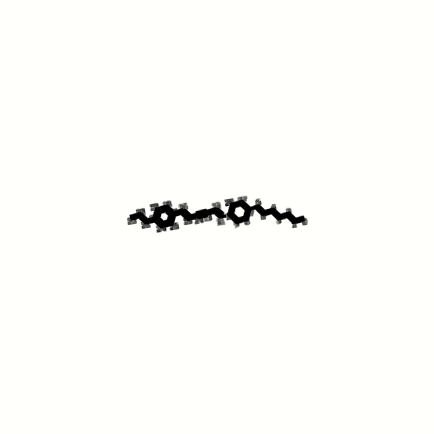 CCCCCCC[C@H]1CC[C@H](/C=C/C#C/C=C/c2ccc(CCC)cc2)CC1